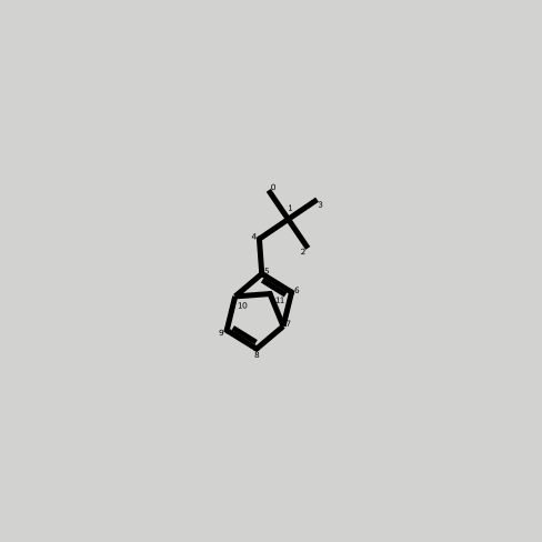 CC(C)(C)CC1=CC2C=CC1C2